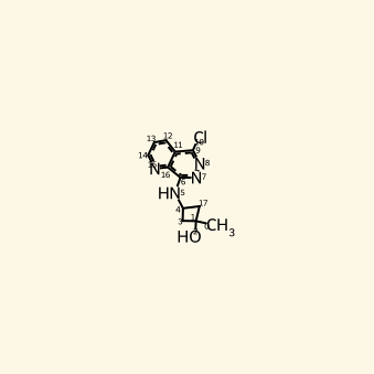 CC1(O)CC(Nc2nnc(Cl)c3cccnc23)C1